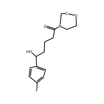 O=C(CCCC(O)c1ccc(F)cc1)N1CCOCC1